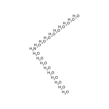 N.O.O.O.O.O.O.O.O.O.O.O.O.O.O.O.O.O.O